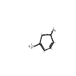 CC(C)C1C=CC=C(C(F)(F)F)C1